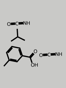 CC(C)C.Cc1cccc(C(=O)O)c1.N=C=O.N=C=O